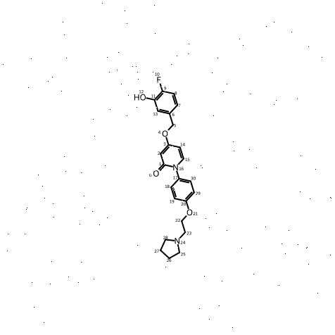 O=c1cc(OCc2ccc(F)c(O)c2)ccn1-c1ccc(OCCN2CCCC2)cc1